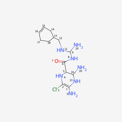 NC1=C(Cl)NC(C(=O)NC(N)NCC2CC=CCC2)C(N)N1